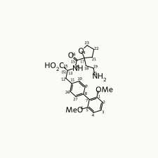 COc1cccc(OC)c1-c1ccc(C[C@H](NC(=O)C2(CCN)CCCO2)C(=O)O)cc1